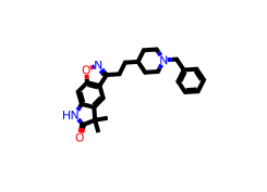 CC1(C)C(=O)Nc2cc3onc(CCC4CCN(Cc5ccccc5)CC4)c3cc21